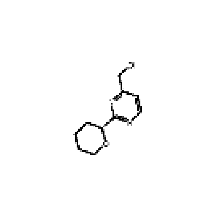 OCc1ccnc([C@@H]2CCCCO2)n1